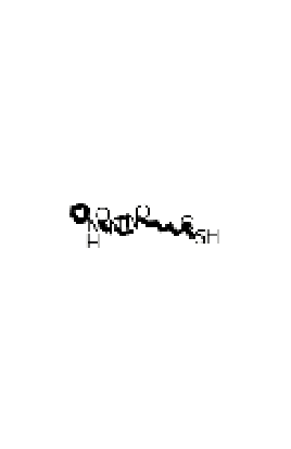 O=C(CS)CCCCCC(=O)N1CCN(CC(=O)Nc2ccccc2)CC1